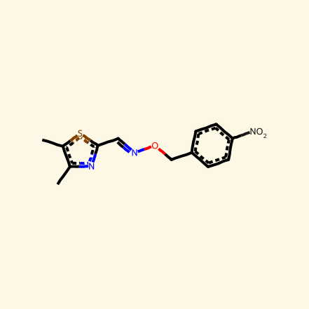 Cc1nc(C=NOCc2ccc([N+](=O)[O-])cc2)sc1C